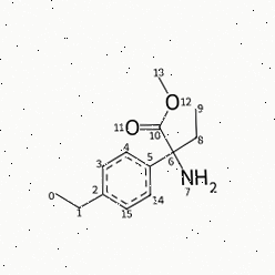 CCc1ccc(C(N)(CC)C(=O)OC)cc1